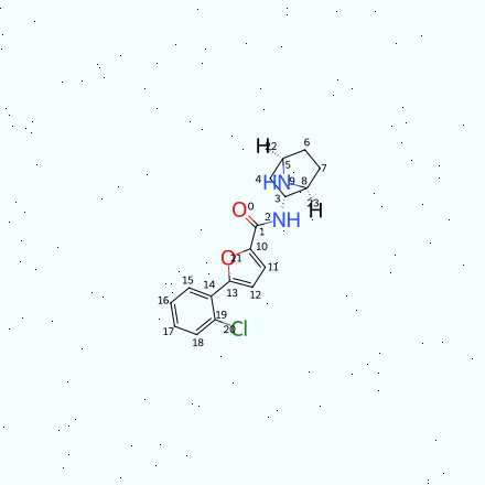 O=C(N[C@@H]1C[C@H]2CC[C@@H]1N2)c1ccc(-c2ccccc2Cl)o1